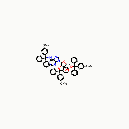 COc1ccc(C(Nc2ncnc3c2ncn3[C@@H]2O[C@H](COC(c3ccccc3)(c3ccccc3)c3ccc(OC)cc3)[C@@H](O)[C@H]2OC(c2ccccc2)(c2ccccc2)c2ccc(OC)cc2)(c2ccccc2)c2ccccc2)cc1